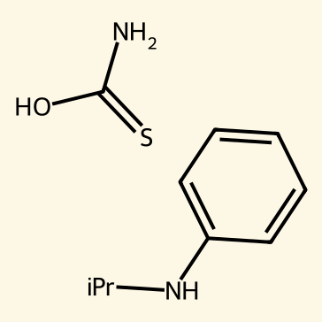 CC(C)Nc1ccccc1.NC(O)=S